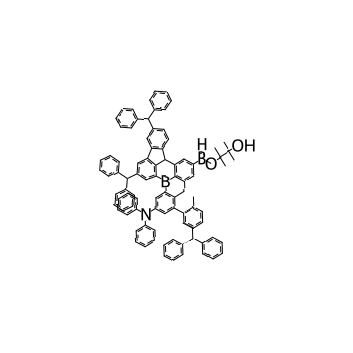 Cc1ccc(C(c2ccccc2)c2ccccc2)cc1-c1cc(N(c2ccccc2)c2ccccc2)cc2c1Cc1cc(BOC(C)(C)C(C)(C)O)cc3c1B2c1cc(C(c2ccccc2)c2ccccc2)cc2c1C3c1ccc(C(c3ccccc3)c3ccccc3)cc1-2